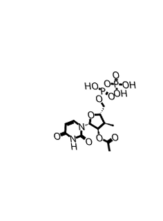 CC(=O)O[C@@H]1[C@H](C)[C@@H](COP(=O)(O)OP(=O)(O)O)O[C@H]1n1ccc(=O)[nH]c1=O